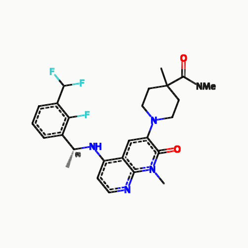 CNC(=O)C1(C)CCN(c2cc3c(N[C@H](C)c4cccc(C(F)F)c4F)ccnc3n(C)c2=O)CC1